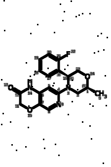 C[C@H]1CN(c2cc3c(cn2)OCC(=O)N3)[C@@H](c2ccccc2F)CO1